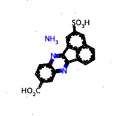 N.O=C(O)c1ccc2nc3c(nc2c1)-c1cccc2cc(S(=O)(=O)O)cc-3c12